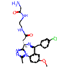 COc1ccc2c(c1)C(c1ccc(Cl)cc1)=N[C@@H](CC(=O)NCCNC(=O)CN)c1nnc(C)n1-2